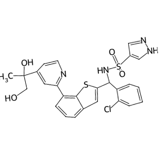 CC(O)(CO)c1ccnc(-c2cccc3cc(C(NS(=O)(=O)c4cn[nH]c4)c4ccccc4Cl)sc23)c1